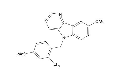 COc1ccc2c(c1)c1ncccc1n2Cc1ccc(SC)cc1C(F)(F)F